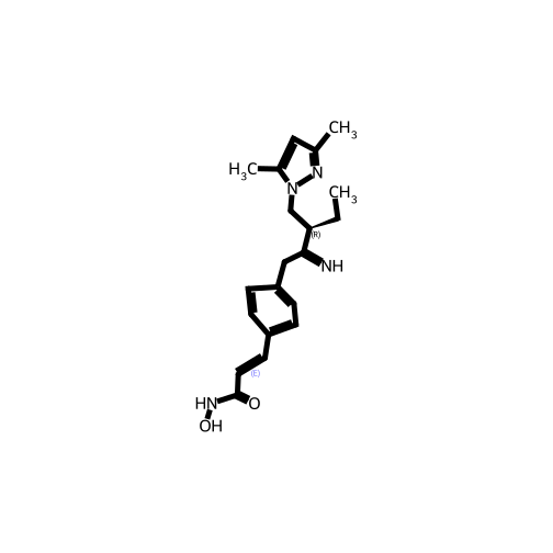 CC[C@H](Cn1nc(C)cc1C)C(=N)Cc1ccc(/C=C/C(=O)NO)cc1